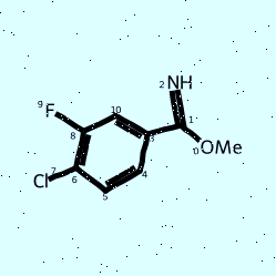 COC(=N)c1ccc(Cl)c(F)c1